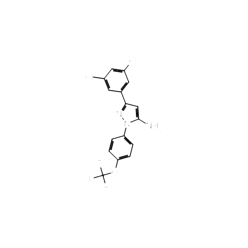 Nc1cc(-c2cc(Cl)cc(Cl)c2)nn1-c1ccc(OC(F)(F)F)cc1